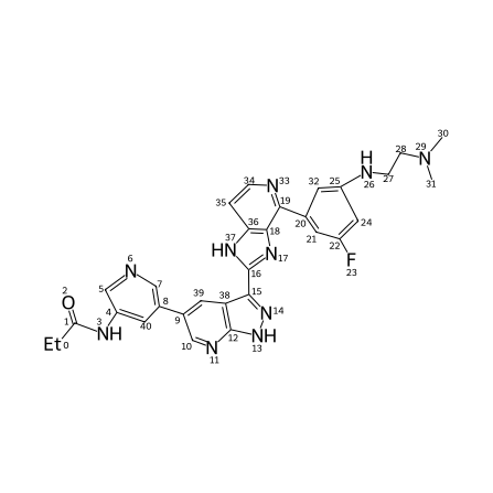 CCC(=O)Nc1cncc(-c2cnc3[nH]nc(-c4nc5c(-c6cc(F)cc(NCCN(C)C)c6)nccc5[nH]4)c3c2)c1